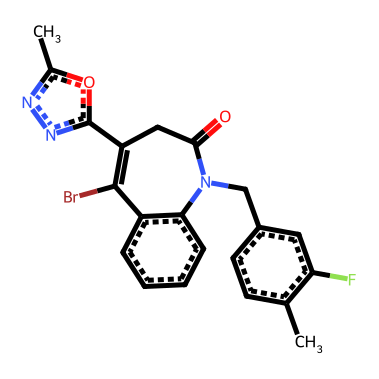 Cc1nnc(C2=C(Br)c3ccccc3N(Cc3ccc(C)c(F)c3)C(=O)C2)o1